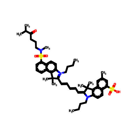 CCCCN1/C(=C/C=C/C=C/C2=[N+](CCCC)c3ccc4c(S(=O)(=O)N(C)CCCC(=O)C(C)C)cccc4c3C2(C)C)C(C)(C)c2c1ccc1c(S(=O)(=O)O)cc(C)cc21